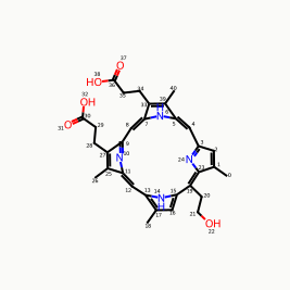 CC1=Cc2cc3[nH]c(cc4nc(cc5[nH]c(cc5C)c(CCO)c1n2)C(C)=C4CCC(=O)O)c(CCC(=O)O)c3C